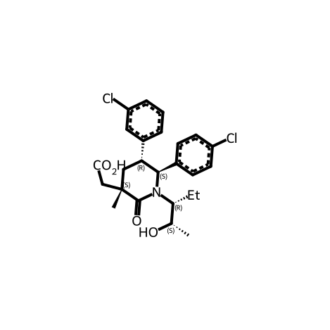 CC[C@H]([C@H](C)O)N1C(=O)[C@](C)(CC(=O)O)C[C@H](c2cccc(Cl)c2)[C@H]1c1ccc(Cl)cc1